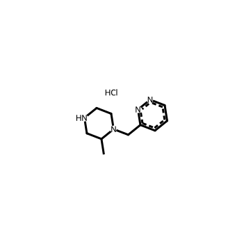 CC1CNCCN1Cc1cccnn1.Cl